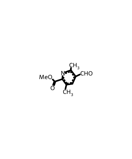 COC(=O)c1nc(C)c(C=O)cc1C